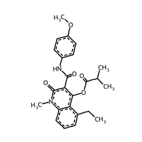 CCc1cccc2c1c(OC(=O)C(C)C)c(C(=O)Nc1ccc(OC)cc1)c(=O)n2C